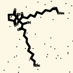 CCCCCC/C=C\CCCCCCCC(=O)C(O)(C(O)C(=O)CCCCCCCCCCCCCCCCCCC)C1(O)C(=O)CCC1=O